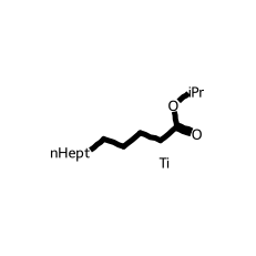 CCCCCCCCCCCC(=O)OC(C)C.[Ti]